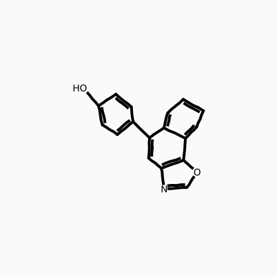 Oc1ccc(-c2cc3ncoc3c3ccccc23)cc1